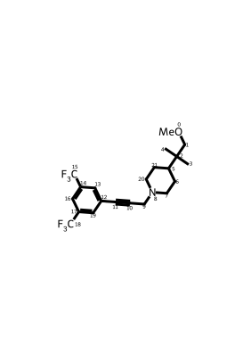 COCC(C)(C)C1CCN(CC#Cc2cc(C(F)(F)F)cc(C(F)(F)F)c2)CC1